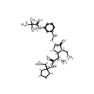 CCN1C(=O)[C@@H](CNc2cccc(NC(=O)C(C)(C)C)c2)SC1[C@H](N)C(=O)NC1(CO)CCCC1